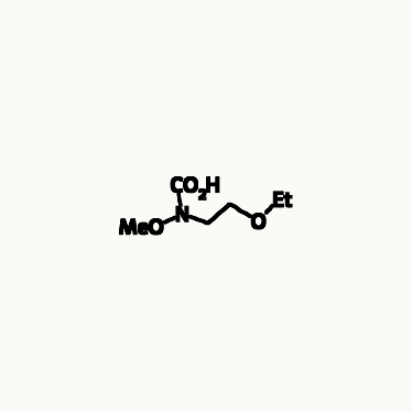 CCOCCN(OC)C(=O)O